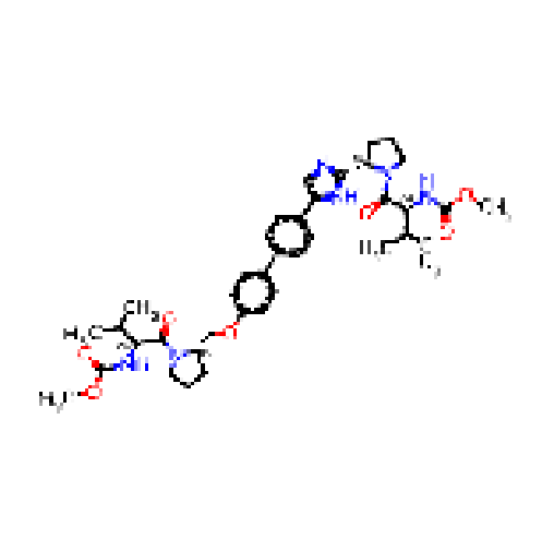 COC(=O)N[C@H](C(=O)N1CCC[C@H]1COc1ccc(-c2ccc(-c3cnc([C@@H]4CCCN4C(=O)[C@@H](NC(=O)OC)C(C)C)[nH]3)cc2)cc1)C(C)C